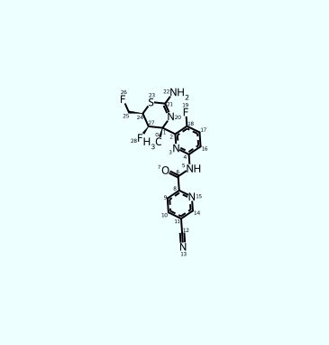 C[C@]1(c2nc(NC(=O)c3ccc(C#N)cn3)ccc2F)N=C(N)S[C@H](CF)[C@@H]1F